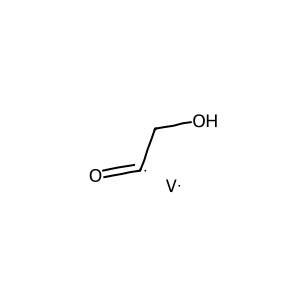 O=[C]CO.[V]